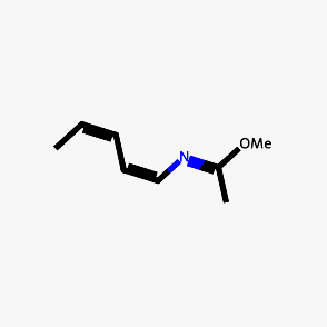 C\C=C/C=C\N=C(/C)OC